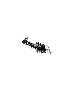 COc1cccc2c1C(=O)c1c(O)c3c(c(O)c1C2=O)C[C@@](O)(C(=O)N[C@H]1CO[C@H]2[C@@H]1OC[C@@H]2NC(=O)CNC(=O)CNC(=O)CNC(=O)COCCOCCOCCOCCOCCOCCOCCOCCNC(=O)CCN1C(=O)C=CC1=O)C[C@@H]3O[C@H]1C[C@H]2[C@H](O[C@@H]3[C@@H](OC)OCCN32)[C@H](C)O1